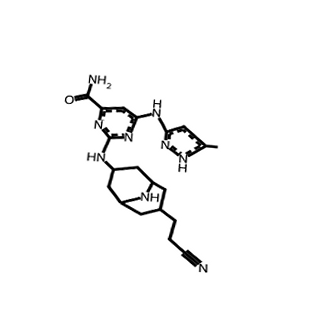 Cc1cc(Nc2cc(C(N)=O)nc(NC3CC4CC(CCC#N)CC(C3)N4)n2)n[nH]1